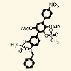 COc1cc(-c2ccc([N+](=O)[O-])cc2)c(OC)c(OS(C)(=O)=O)c1-c1ccc(OCc2ccccc2)c(OS(C)(=O)=O)c1